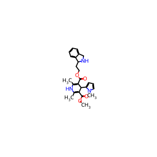 COC(=O)C1=C(C)NC(C)=C(C(=O)OCCC2NCc3ccccc32)C1c1cccn1C